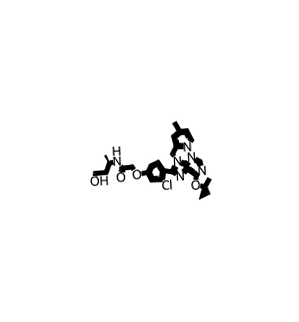 Cc1ccnc(Cn2c(-c3ccc(OCC(=O)N[C@H](C)CCO)cc3Cl)nc3c(OC4(C)CC4)ncnc32)c1